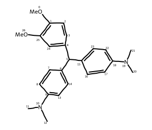 COc1ccc(C(c2ccc(N(C)C)cc2)c2ccc(N(C)C)cc2)cc1OC